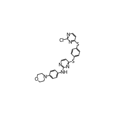 Clc1nccc(Sc2ccc(Sc3ccnc(Nc4ccc(N5CCOCC5)cc4)n3)cc2)n1